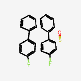 Fc1ccc(-c2ccccc2)cc1.Fc1ccc(-c2ccccc2)cc1.O=S